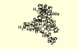 CC[C@H](C)[C@@H]([C@@H](CC(=O)N1CCC[C@H]1[C@H](OC)[C@@H](C)C(=O)N[C@H](C)[C@@H](O)c1ccccc1)OC)N(C)C(=O)[C@@H](NC(=O)[C@H](C(C)C)N(C)C(=O)OCc1ccc(NC(=O)[C@H](CCCNC(N)=O)NC(=O)[C@@H](NC(=O)CCOCCNC(=O)CCN2C(=O)C=CC2=O)C(C)C)cc1)C(C)C